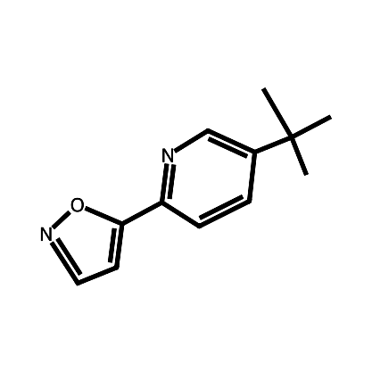 CC(C)(C)c1ccc(-c2ccno2)nc1